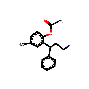 Cc1ccc(OC(=O)C(F)(F)F)c(C(CCI)c2ccccc2)c1